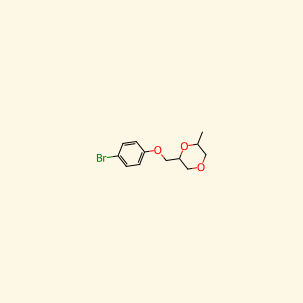 CC1COCC(COc2ccc(Br)cc2)O1